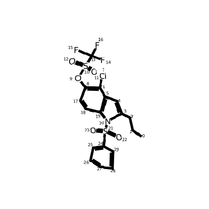 CCCc1cc2c(Cl)c(OS(=O)(=O)C(F)(F)F)ccc2n1S(=O)(=O)c1ccccc1